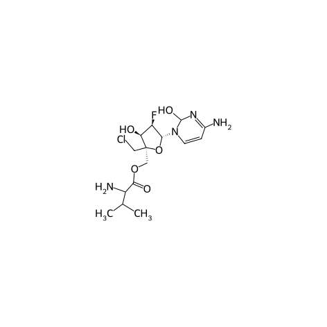 CC(C)C(N)C(=O)OC[C@@]1(CCl)O[C@@H](N2C=CC(N)=NC2O)[C@H](F)[C@@H]1O